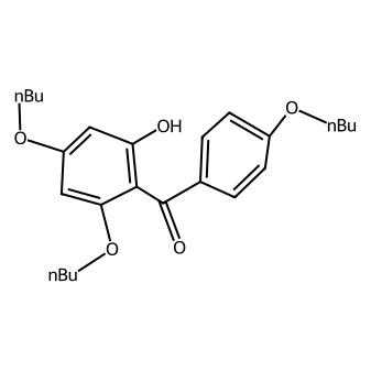 CCCCOc1ccc(C(=O)c2c(O)cc(OCCCC)cc2OCCCC)cc1